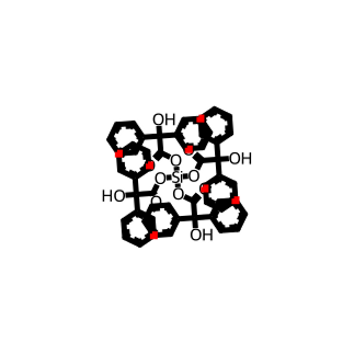 O=C(O[Si](OC(=O)C(O)(c1ccccc1)c1ccccc1)(OC(=O)C(O)(c1ccccc1)c1ccccc1)OC(=O)C(O)(c1ccccc1)c1ccccc1)C(O)(c1ccccc1)c1ccccc1